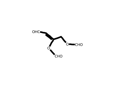 O=CC=C(COC=O)OC=O